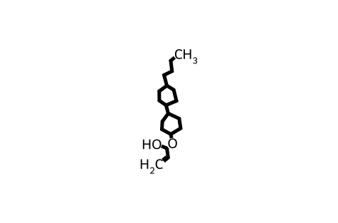 C=CC(O)OC1CCC(C2CCC(CCCC)CC2)CC1